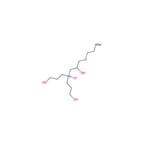 CCCCCCCCCCCCOCC(O)C[N+]([O-])(CCCO)CCCO